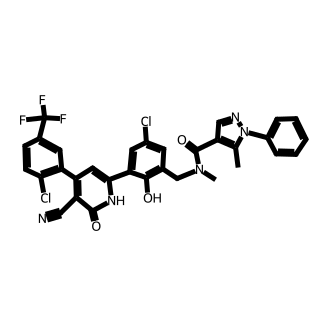 Cc1c(C(=O)N(C)Cc2cc(Cl)cc(-c3cc(-c4cc(C(F)(F)F)ccc4Cl)c(C#N)c(=O)[nH]3)c2O)cnn1-c1ccccc1